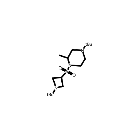 CC1CN(C(C)(C)C)CCN1S(=O)(=O)C1CN(C(C)(C)C)C1